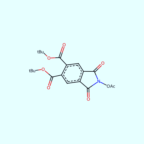 CC(=O)ON1C(=O)c2cc(C(=O)OC(C)(C)C)c(C(=O)OC(C)(C)C)cc2C1=O